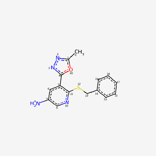 Cc1nnc(-c2cc(N)cnc2SCc2ccccc2)o1